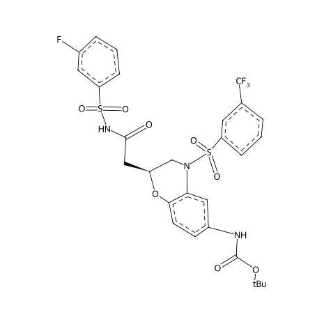 CC(C)(C)OC(=O)Nc1ccc2c(c1)N(S(=O)(=O)c1cccc(C(F)(F)F)c1)C[C@H](CC(=O)NS(=O)(=O)c1cccc(F)c1)O2